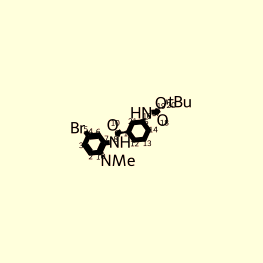 CNc1ccc(Br)cc1NC(=O)[C@@H]1CCC[C@H](NC(=O)OC(C)(C)C)C1